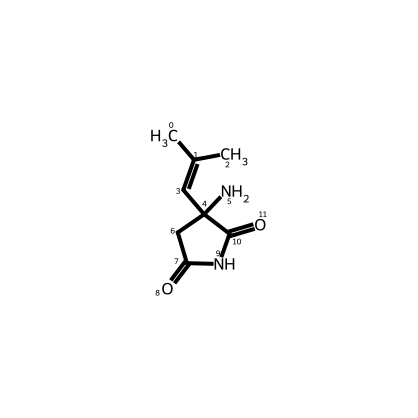 CC(C)=CC1(N)CC(=O)NC1=O